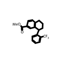 COC(=O)c1ccc2c(c1)C(c1ccccc1C(F)(F)F)CCC2